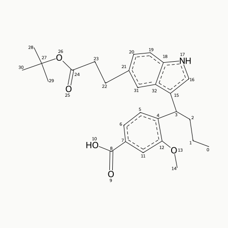 CCCC(c1ccc(C(=O)O)cc1OC)c1c[nH]c2ccc(CCC(=O)OC(C)(C)C)cc12